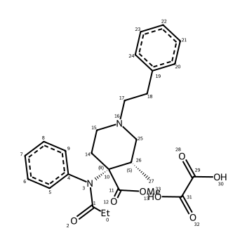 CCC(=O)N(c1ccccc1)[C@]1(C(=O)OC)CCN(CCc2ccccc2)C[C@@H]1C.O=C(O)C(=O)O